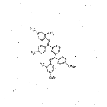 COc1ccc(/C(=N\c2ccc(OC)cc2C)c2cccc(/C(=N/c3ccc(C)cc3C)c3ccc(C)cc3)n2)cc1